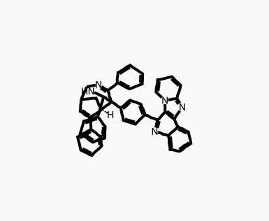 C1=C(c2ccccc2)[C@H]2CC1C1N=C(c3ccccc3)C2(c2ccc(-c3nc4ccccc4c4nc5ccccn5c34)cc2)C(c2ccccc2)N1